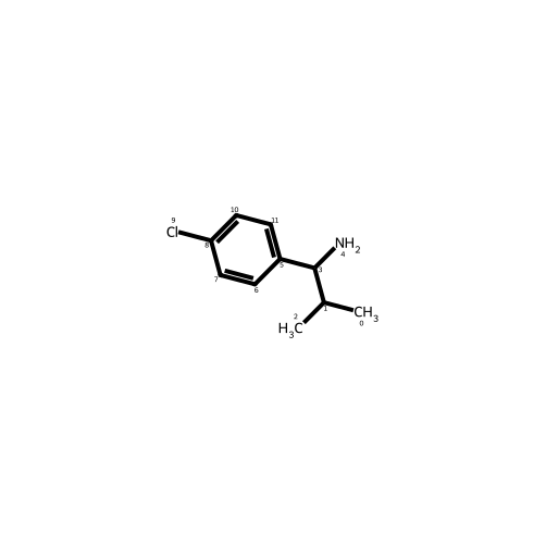 CC(C)C(N)c1ccc(Cl)cc1